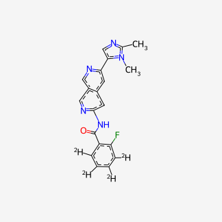 [2H]c1c([2H])c([2H])c(C(=O)Nc2cc3cc(-c4cnc(C)n4C)ncc3cn2)c(F)c1[2H]